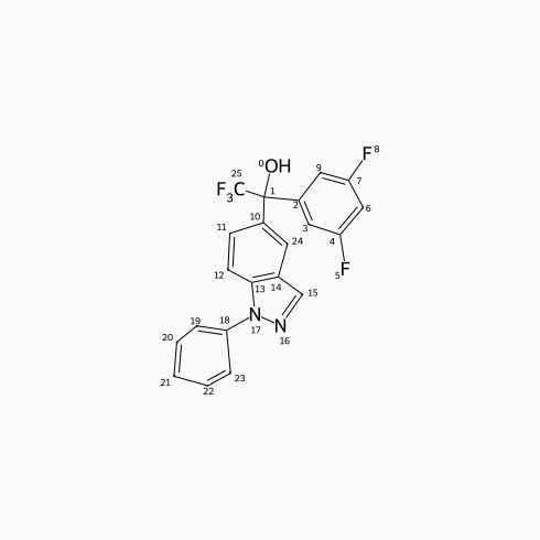 OC(c1cc(F)cc(F)c1)(c1ccc2c(cnn2-c2ccccc2)c1)C(F)(F)F